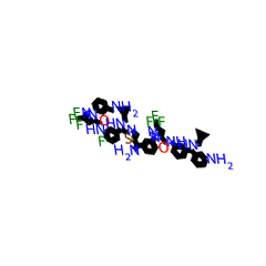 NCc1cccc(-n2nc(C(F)(F)F)cc2C(=O)Nc2cc(C(NCC3CC3)c3ncc(C(N)c4cccc(-n5nc(C(F)(F)F)cc5C(=O)Nc5cccc(C(NCC6CC6)c6cccc(N)c6)c5)c4)s3)ccc2F)c1